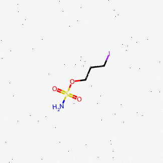 NS(=O)(=O)OCCCI